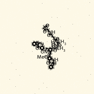 COc1cc2c(cc1OCc1cc(COc3cc4c(cc3OC)C(=O)N3c5ccccc5C[C@H]3CN4)cc(NC(=O)C(C)NC(=O)[C@H](C)NC(=O)CCCCC(=O)NCCN3C(=O)C=CC3=O)c1)N=CC1Cc3ccccc3N1C2=O